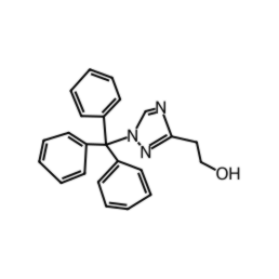 OCCc1ncn(C(c2ccccc2)(c2ccccc2)c2ccccc2)n1